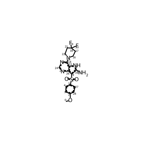 COc1ccc(S(=O)(=O)c2c(N)[nH]c3c(N4CCC(F)(F)CC4)ncnc23)cc1